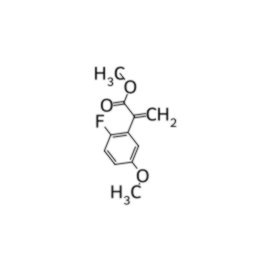 C=C(C(=O)OC)c1cc(OC)ccc1F